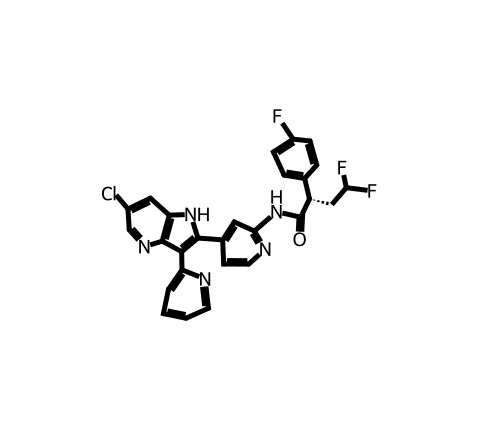 O=C(Nc1cc(-c2[nH]c3cc(Cl)cnc3c2-c2ccccn2)ccn1)[C@@H](CC(F)F)c1ccc(F)cc1